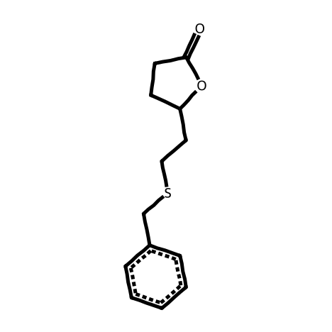 O=C1CCC(CCSCc2ccccc2)O1